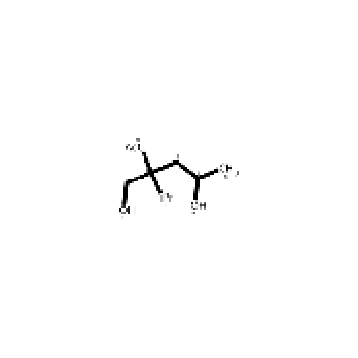 CC(=O)OC(CO)(CC(C)O)C(C)C